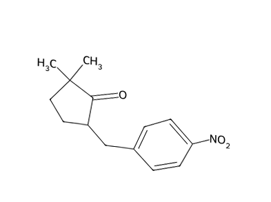 CC1(C)CCC(Cc2ccc([N+](=O)[O-])cc2)C1=O